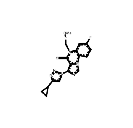 COCCn1c(=O)c2c(-n3cc(C4CC4)nn3)ncn2c2ccc(F)cc21